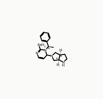 C[C@H](c1ccccc1)N1C([AsH2])=NC=CC1N1C[C@H]2CCN[C@H]2C1